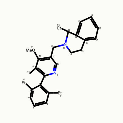 CCc1cccc(CC)c1-c1ncc(CN2CCc3ccccc3C2CC)c(OC)c1C